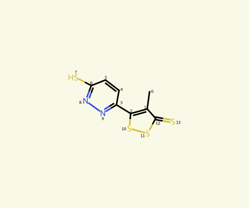 Cc1c(-c2ccc(S)nn2)ssc1=S